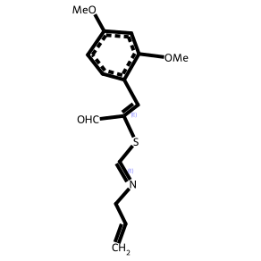 C=CC/N=C/S/C(C=O)=C/c1ccc(OC)cc1OC